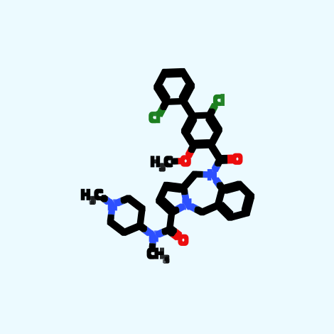 COc1cc(-c2ccccc2Cl)c(Cl)cc1C(=O)N1Cc2ccc(C(=O)N(C)C3CCN(C)CC3)n2Cc2ccccc21